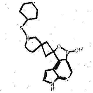 OB1OC2(CC3(CCN(SC4CCCCC4)C3)C2)c2c1cnc1[nH]ccc21